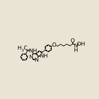 C[C@@H](Nc1ncnc2[nH]c(-c3ccc(OCCCCCC(=O)NO)cc3)cc12)c1ccccc1